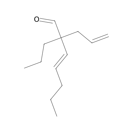 C=CCC(C=O)(C=CCCC)CCC